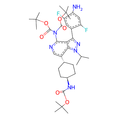 CC(C)n1nc(-c2cc(F)c(N)cc2F)c2c(N(C(=O)OC(C)(C)C)C(=O)OC(C)(C)C)ncc([C@H]3CC[C@H](NC(=O)OC(C)(C)C)CC3)c21